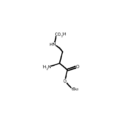 CC(C)(C)OC(=O)C(N)CNC(=O)O